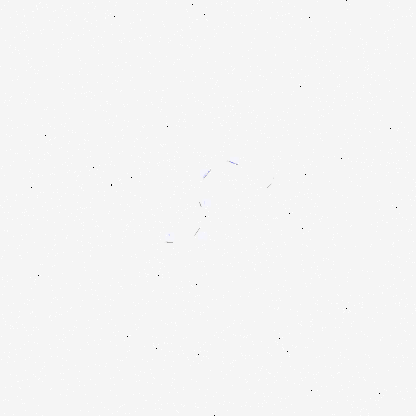 CC/C=C/C/C=C\C/C=C/C/C=C\C/C=C\CCCC(=O)O